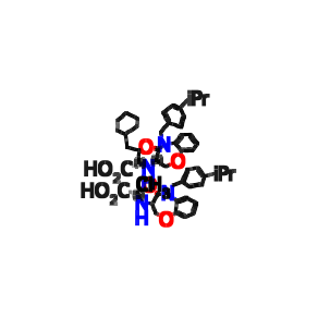 CC(C)c1ccc(CN2C(=O)C(N[C@@H](C)C(=O)O)COc3ccccc32)cc1.CC(C)c1ccc(CN2C(=O)[C@@H](N[C@@H](CCC3CCCCC3)C(=O)O)COc3ccccc32)cc1